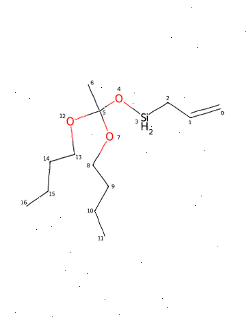 C=CC[SiH2]OC(C)(OCCCC)OCCCC